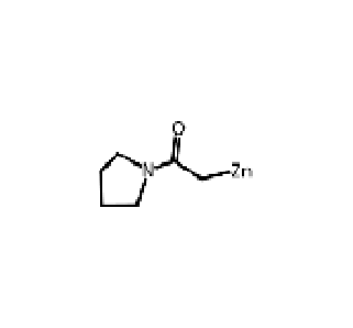 O=C([CH2][Zn])N1CCCC1